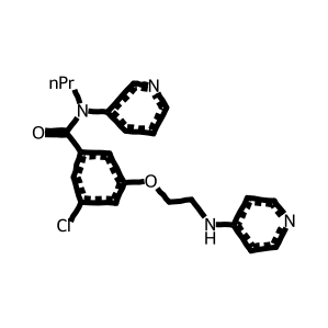 CCCN(C(=O)c1cc(Cl)cc(OCCNc2ccncc2)c1)c1cccnc1